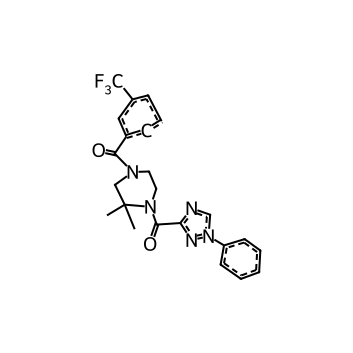 CC1(C)CN(C(=O)c2cccc(C(F)(F)F)c2)CCN1C(=O)c1ncn(-c2ccccc2)n1